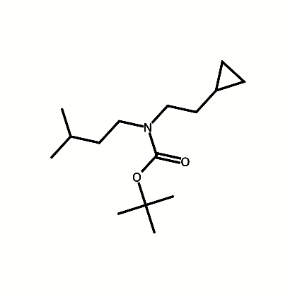 CC(C)CCN(CCC1CC1)C(=O)OC(C)(C)C